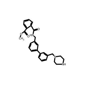 COC(=O)c1ccccc1C(=O)NCc1cccc(-c2cccc(CN3CCNCC3)c2)c1